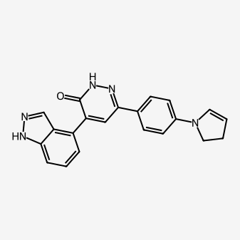 O=c1[nH]nc(-c2ccc(N3C=CCC3)cc2)cc1-c1cccc2[nH]ncc12